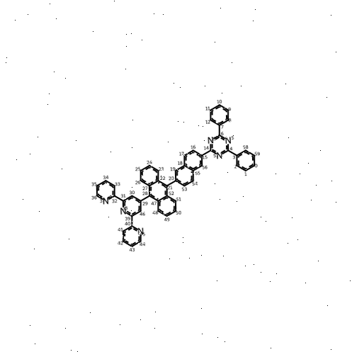 c1ccc(-c2nc(-c3ccccc3)nc(-c3ccc4cc(-c5c6ccccc6c(-c6cc(-c7ccccn7)nc(-c7ccccn7)c6)c6ccccc56)ccc4c3)n2)cc1